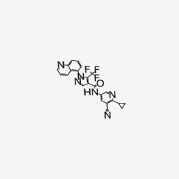 N#Cc1cc(NC(=O)c2cnn(-c3cccc4ncccc34)c2C(F)(F)F)cnc1C1CC1